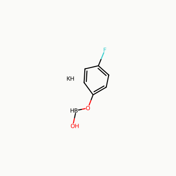 OBOc1ccc(F)cc1.[KH]